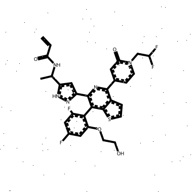 C=CC(=O)NC(C)c1cc(-c2nc(-c3ccn(CC(F)F)c(=O)c3)c3ccsc3c2-c2c(F)cc(F)cc2OCCO)n[nH]1